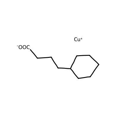 O=C([O-])CCCC1CCCCC1.[Cu+]